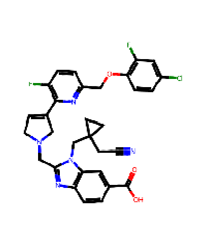 N#CCC1(Cn2c(CN3CC=C(c4nc(COc5ccc(Cl)cc5F)ccc4F)C3)nc3ccc(C(=O)O)cc32)CC1